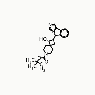 CC(C)(C)OC(=O)N1CCC2(CC1)C[C@H]([C@@H]1c3ccccc3-c3cncn31)[C@H]2O